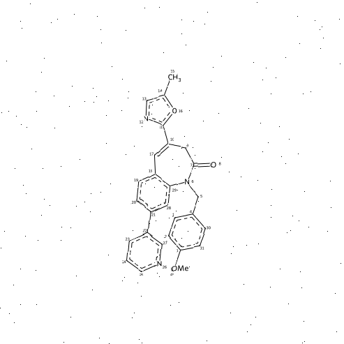 COc1ccc(CN2C(=O)CC(c3ncc(C)o3)=Cc3ccc(-c4cccnc4)cc32)cc1